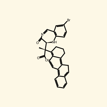 C[C@](C(=O)O)(C1=c2ccc3c(c2CCC1)CC=c1ccccc1=3)[C@@H]1Nc2ccc(Br)cc2C=NC1=O